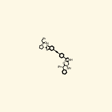 CCCN(Cc1nc(-c2ccc(C#Cc3ccc4[nH]c([C@@H]5CCCN5C(=O)CC(C)C)nc4c3)cc2)c[nH]1)C(=O)[C@@H](c1ccccc1)C(C)C